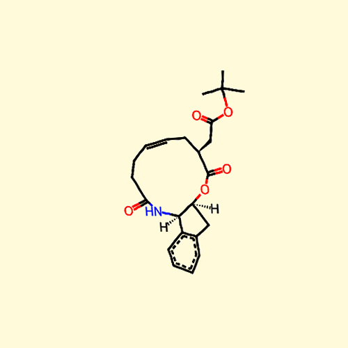 CC(C)(C)OC(=O)C[C@@H]1CC=CCCC(=O)N[C@@H]2c3ccccc3C[C@@H]2OC1=O